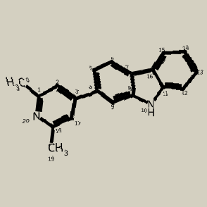 Cc1cc(-c2ccc3c(c2)[nH]c2ccccc23)cc(C)n1